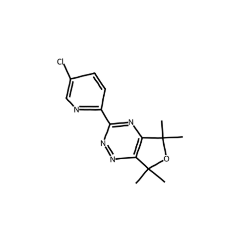 CC1(C)OC(C)(C)c2nc(-c3ccc(Cl)cn3)nnc21